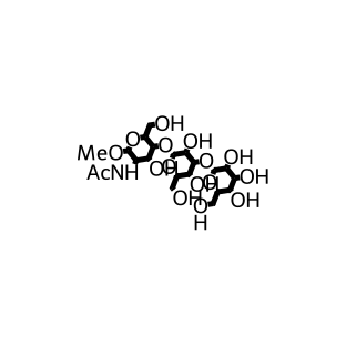 COC1OC(CO)C(OC2OC(CO)C(O)C(OC3OC(CO)C(O)C(O)C3O)C2O)C(O)C1NC(C)=O